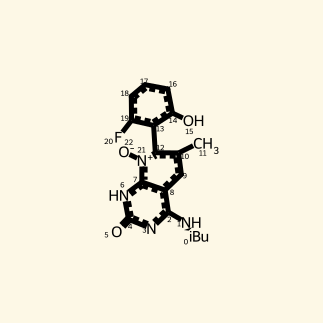 CC[C@H](C)Nc1nc(=O)[nH]c2c1cc(C)c(-c1c(O)cccc1F)[n+]2[O-]